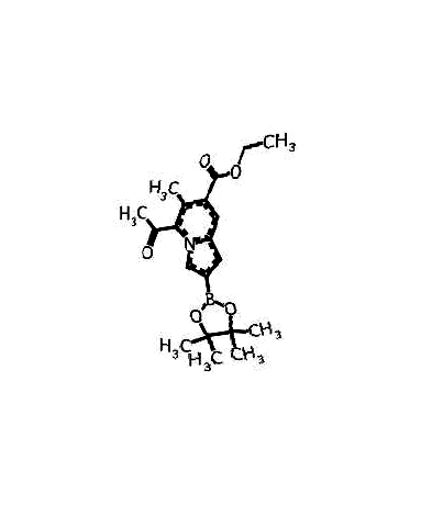 CCOC(=O)c1cc2cc(B3OC(C)(C)C(C)(C)O3)cn2c(C(C)=O)c1C